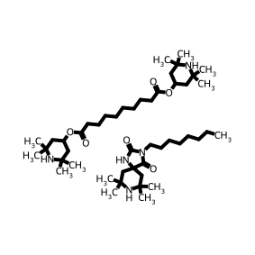 CC1(C)CC(OC(=O)CCCCCCCCC(=O)OC2CC(C)(C)NC(C)(C)C2)CC(C)(C)N1.CCCCCCCCN1C(=O)NC2(CC(C)(C)NC(C)(C)C2)C1=O